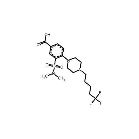 CN(C)S(=O)(=O)c1cc(C(=O)O)ccc1N1CCN(CCCCC(F)(F)F)CC1